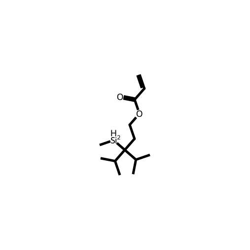 C=CC(=O)OCCC([SiH2]C)(C(C)C)C(C)C